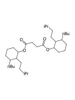 CCCCC1CCCC(OC(=O)CCC(=O)OC2CCCC(CCCC)C2CCC(C)C)C1CCC(C)C